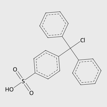 O=S(=O)(O)c1ccc(C(Cl)(c2ccccc2)c2ccccc2)cc1